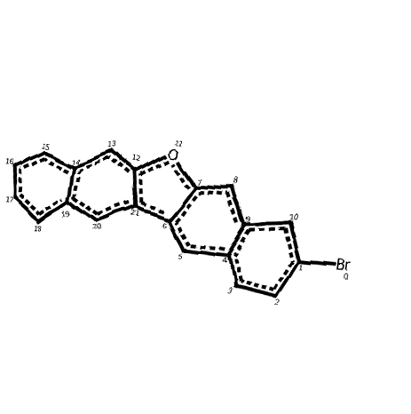 Brc1ccc2cc3c(cc2c1)oc1cc2ccccc2cc13